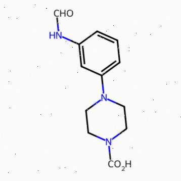 O=CNc1cccc(N2CCN(C(=O)O)CC2)c1